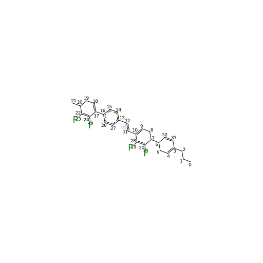 CCCC1=CCC(C2CC=C(/C=C/c3ccc(C4=CCC(C)C(F)=C4F)cc3)C(F)=C2F)C=C1